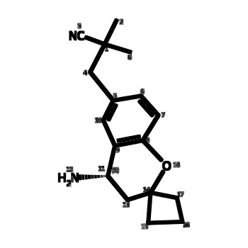 CC(C)(C#N)Cc1ccc2c(c1)[C@@H](N)CC1(CCC1)O2